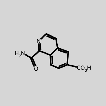 NC(=O)c1nccc2cc(C(=O)O)ccc12